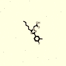 CCCCCc1nc(-c2ccc(F)c(C)c2)nn1CC(=O)O